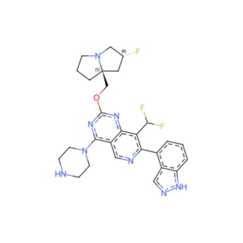 FC(F)c1c(-c2cccc3[nH]ncc23)ncc2c(N3CCNCC3)nc(OC[C@@]34CCCN3C[C@H](F)C4)nc12